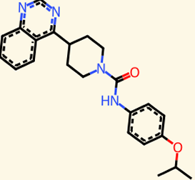 CC(C)Oc1ccc(NC(=O)N2CCC(c3ncnc4ccccc34)CC2)cc1